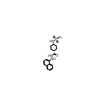 CC(C)S(=O)(=O)N[C@H]1CC[C@H](C(=O)NNc2cccc3ccccc23)CC1